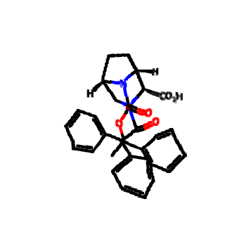 CC(OC(=O)N1[C@H]2CC[C@@H]1[C@@H](C(=O)O)N(C(=O)C(c1ccccc1)c1ccccc1)C2)c1ccccc1